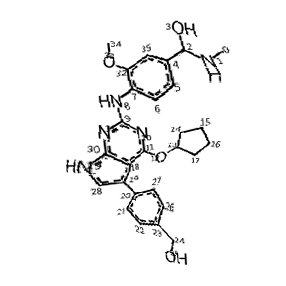 CNC(O)c1ccc(Nc2nc(OC3CCCC3)c3c(-c4ccc(CO)cc4)c[nH]c3n2)c(OC)c1